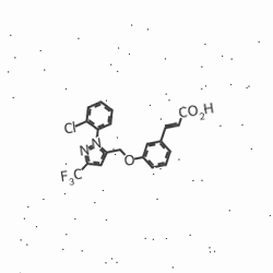 O=C(O)/C=C/c1cccc(OCc2cc(C(F)(F)F)nn2-c2ccccc2Cl)c1